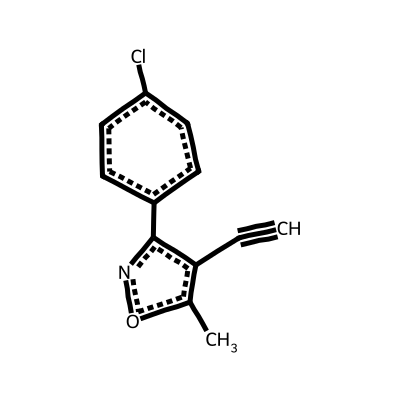 C#Cc1c(-c2ccc(Cl)cc2)noc1C